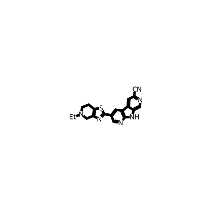 CCN1CCc2sc(-c3cnc4[nH]c5cnc(C#N)cc5c4c3)nc2C1